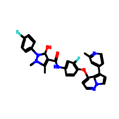 CC1=C(C(=O)Nc2ccc(Oc3ccnn4ccc(-c5ccnc(C)c5)c34)c(F)c2)C(O)N(c2ccc(F)cc2)N1C